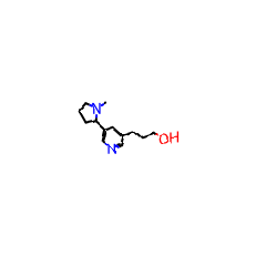 CN1CCCC1c1cncc(CCCO)c1